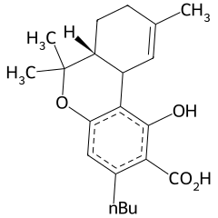 CCCCc1cc2c(c(O)c1C(=O)O)C1C=C(C)CC[C@H]1C(C)(C)O2